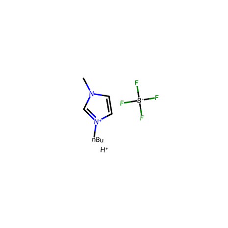 CCCC[n+]1ccn(C)c1.F[B-](F)(F)F.[H+]